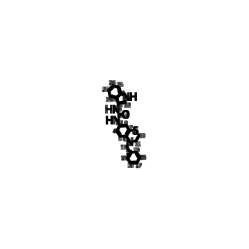 O=C(Nc1ccc2c(c1)SCCN2Cc1ccccc1)Nc1c[nH]c2ccccc12